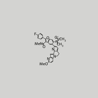 CNC(=O)c1c(-c2ccc(F)cc2)oc2cc(N(C)[S+](C)[O-])c(-c3ccc4c(n3)-c3cc5nc(OC)ccc5n3CC4)cc12